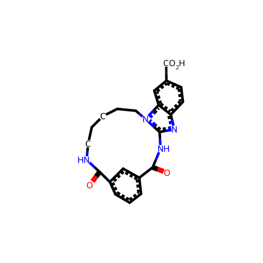 O=C(O)c1ccc2nc3n(c2c1)CCCCCNC(=O)c1cccc(c1)C(=O)N3